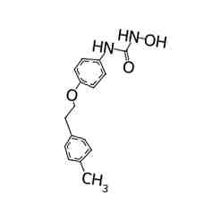 Cc1ccc(CCOc2ccc(NC(=O)NO)cc2)cc1